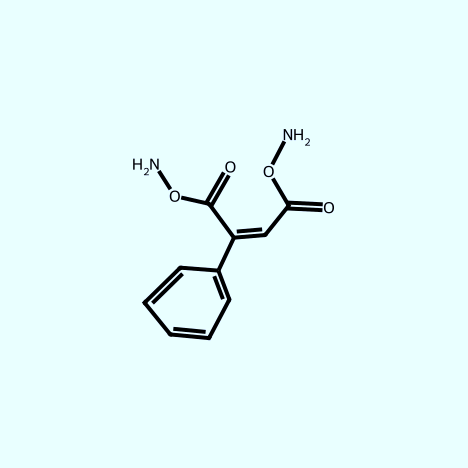 NOC(=O)/C=C(\C(=O)ON)c1ccccc1